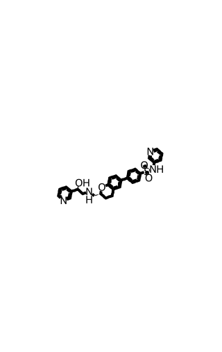 O=S(=O)(Nc1cccnc1)c1ccc(-c2ccc3c(c2)CC[C@H](CNC[C@@H](O)c2cccnc2)O3)cc1